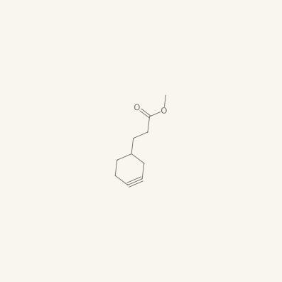 COC(=O)CCC1CC#CCC1